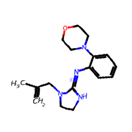 C=C(C)CN1CCN/C1=N\c1ccccc1N1CCOCC1